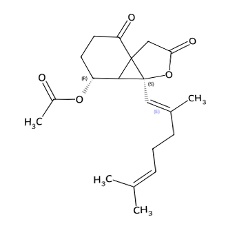 CC(=O)O[C@@H]1CCC(=O)C23CC(=O)O[C@@]2(/C=C(\C)CCC=C(C)C)C13